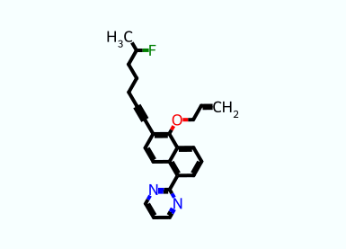 C=CCOc1c(C#CCCCC(C)F)ccc2c(-c3ncccn3)cccc12